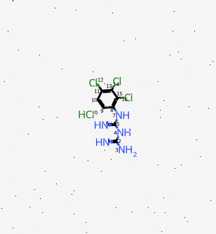 Cl.N=C(N)NC(=N)Nc1ccc(Cl)c(Cl)c1Cl